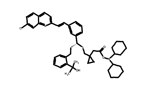 CC(C)(O)c1ccccc1CC[C@@H](SCC1(CC(=O)ON(C2CCCCC2)C2CCCCC2)CC1)c1cccc(/C=C/c2ccc3ccc(Cl)cc3n2)c1